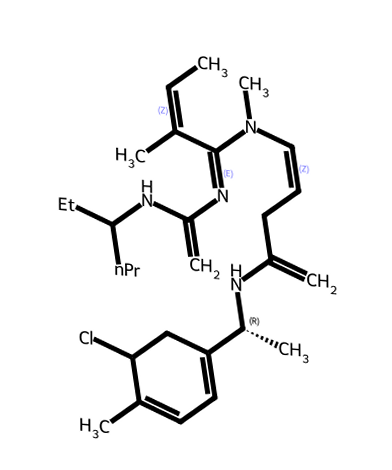 C=C(C/C=C\N(C)C(=N/C(=C)NC(CC)CCC)/C(C)=C\C)N[C@H](C)C1=CC=C(C)C(Cl)C1